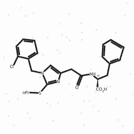 CCCSc1nc(CC(=O)N[C@@H](Cc2ccccc2)C(=O)O)cn1Cc1ccccc1Cl